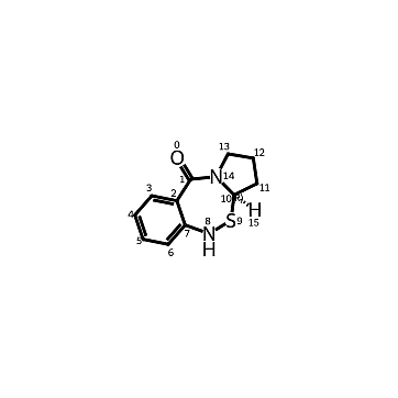 O=C1c2ccccc2NS[C@@H]2CCCN12